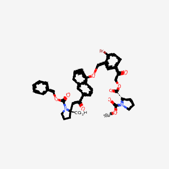 CC(C)(C)OC(=O)N1CCC[C@H]1C(=O)OCC(=O)c1ccc(Br)c(COc2cccc3cc(C(=O)C[C@]4(C(=O)O)CCCN4C(=O)OCc4ccccc4)ccc23)c1